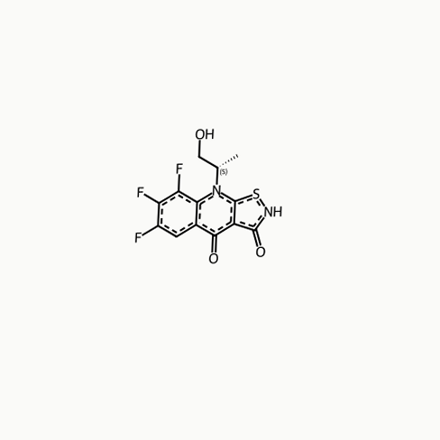 C[C@@H](CO)n1c2s[nH]c(=O)c2c(=O)c2cc(F)c(F)c(F)c21